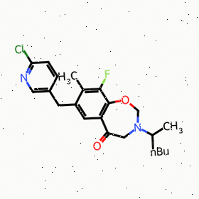 CCCCC(C)N1COc2c(cc(Cc3ccc(Cl)nc3)c(C)c2F)C(=O)C1